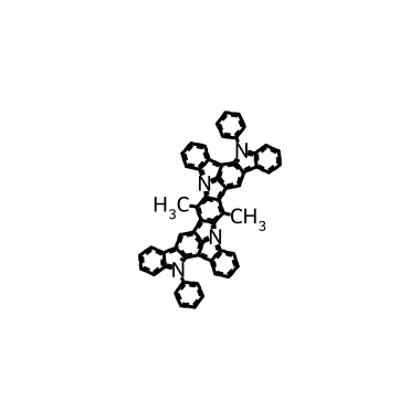 Cc1c2c3cc4c5ccccc5n(-c5ccccc5)c4c4c5ccccc5n(c2c(C)c2c5cc6c7ccccc7n(-c7ccccc7)c6c6c7ccccc7n(c12)c56)c34